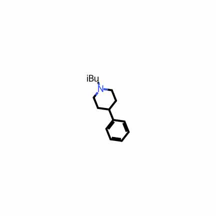 [CH2]CC(C)N1CCC(c2ccccc2)CC1